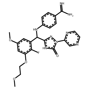 COCCOc1cc(OC)cc(C(Nc2ccc(C(=N)N)cc2)c2nn(-c3cnccn3)c(=O)[nH]2)c1F